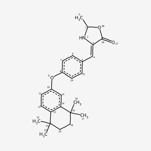 CC1N/C(=C\c2ccc(Oc3ccc4c(c3)C(C)(C)CCC4(C)C)cc2)C(=O)O1